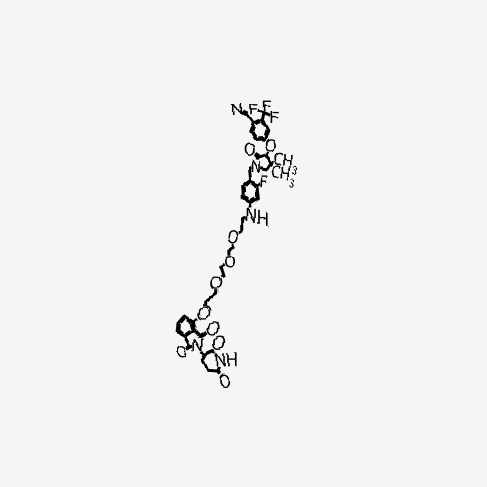 CC1(C)CN(Cc2ccc(NCCOCCOCCOCCOc3cccc4c3C(=O)N(C3CCC(=O)NC3=O)C4=O)cc2F)C(=O)C1Oc1ccc(C#N)c(C(F)(F)F)c1